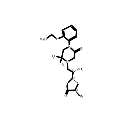 COCOc1ccccc1N1CC(C)(C)N(C[C@H](N)[C@@H]2C[C@@H](C(C)C)C(=O)O2)CC1=O